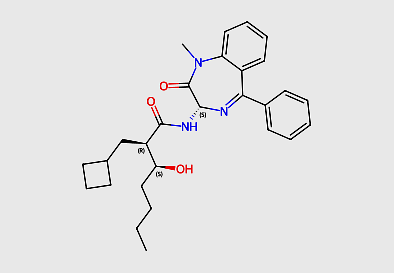 CCCC[C@H](O)[C@@H](CC1CCC1)C(=O)N[C@H]1N=C(c2ccccc2)c2ccccc2N(C)C1=O